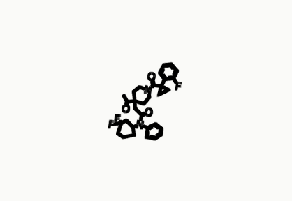 CC(=O)C1(CC(=O)N(c2ccccc2)C2CCCC(F)(F)C2)CCN(C(=O)C2(c3ccccc3F)CC2)CC1